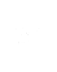 OC[C@@H]1C[C@H](F)CN1CC(F)(F)F